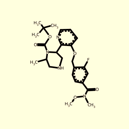 CON(C)C(=O)c1ccc(COc2cccnc2C2CNCC(C)N2C(=O)OC(C)(C)C)c(F)c1